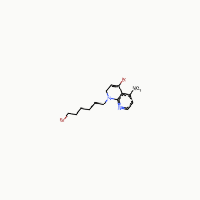 O=[N+]([O-])c1ccnc2c1C(Br)=CCN2CCCCCCBr